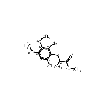 COC(=O)C(N)Cc1c(Cl)cc(OC)c(OC)c1Cl